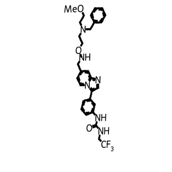 COCCN(CCONCc1ccn2c(-c3cccc(NC(=O)NCC(F)(F)F)c3)cnc2c1)Cc1ccccc1